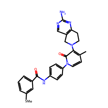 CSc1cccc(C(=O)Nc2ccc(-n3ccc(C)c(N4CCc5nc(N)ncc5C4)c3=O)cc2)c1